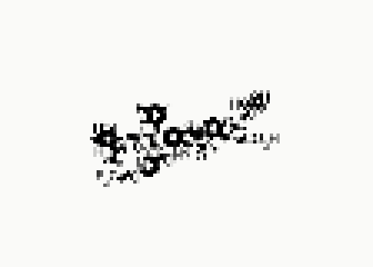 CN(C(=O)N(c1nn(C)c2c(-n3c([C@H](Cc4cc(F)cc(F)c4)NC(=O)Cn4nc(C(F)F)c5c4C(F)(F)[C@@H]4C[C@H]54)nc4nc(OCCC(F)(F)F)ccc4c3=O)ccc(Cl)c12)S(C)(=O)=O)c1ncccc1CN(CC(=O)O)C(=O)OCOP(=O)(O)O